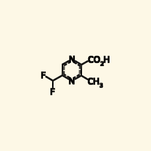 Cc1nc(C(F)F)cnc1C(=O)O